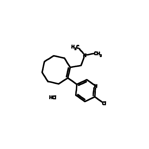 CN(C)C/C1=C(\c2ccc(Cl)nc2)CCCCCC1.Cl